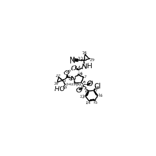 N#CC1(NC(=O)[C@@H]2C[C@@H](S(=O)(=O)c3ccccc3Cl)CN2C(=O)C2(CO)CC2)CC1